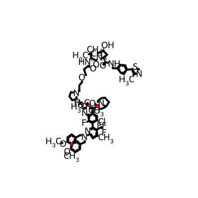 COc1ccc(CN(Cc2ccc(OC)cc2)c2cc(C)c(C(F)(F)F)c(-c3c(Cl)cc4c(N5CC6CCC(C5)N6C(=O)OC(C)(C)C)nc(OC[C@@H]5CCCN5CCCOCCC(=O)N[C@H](C(=O)N5C[C@H](O)C[C@H]5C(=O)NCc5ccc(-c6scnc6C)cc5)C(C)(C)C)nc4c3F)n2)cc1